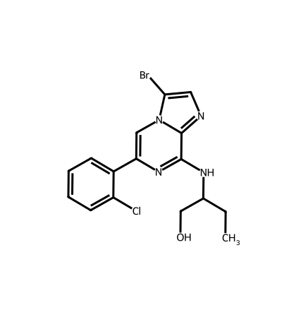 CCC(CO)Nc1nc(-c2ccccc2Cl)cn2c(Br)cnc12